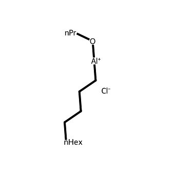 CCCCCCCCC[CH2][Al+][O]CCC.[Cl-]